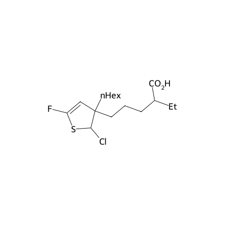 CCCCCCC1(CCCC(CC)C(=O)O)C=C(F)SC1Cl